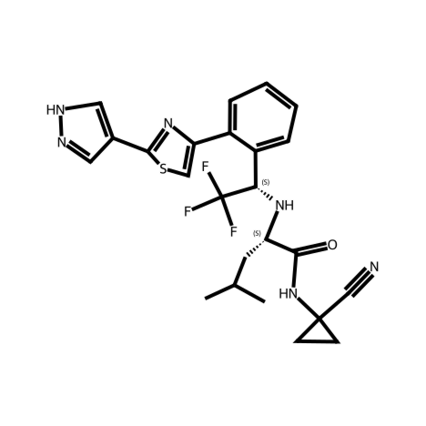 CC(C)C[C@H](N[C@@H](c1ccccc1-c1csc(-c2cn[nH]c2)n1)C(F)(F)F)C(=O)NC1(C#N)CC1